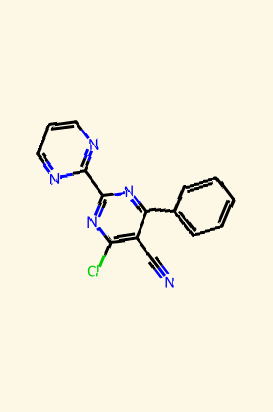 N#Cc1c(Cl)nc(-c2ncccn2)nc1-c1ccccc1